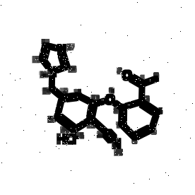 CC(=O)c1ccccc1Oc1cc(Cn2ccnc2)ccc1C#N.Cl